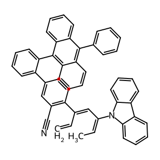 C=C/C(=C\C(=C/C)n1c2ccccc2c2ccccc21)c1ccc(-c2ccccc2-c2c3ccccc3c(-c3ccccc3)c3ccccc23)cc1C#N